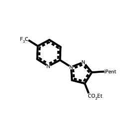 CCCC(C)c1nn(-c2ccc(C(F)(F)F)cn2)cc1C(=O)OCC